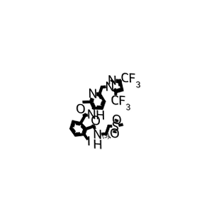 Cc1nc(Cn2nc(C(F)(F)F)cc2C(F)(F)F)ccc1NC(=O)c1cccc(I)c1C(=O)N[C@@H](C)CS(C)(=O)=O